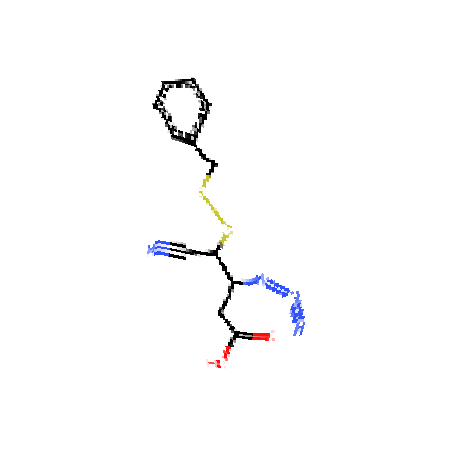 N#CC(SSCc1ccccc1)C(CC(=O)O)N=[N+]=[N-]